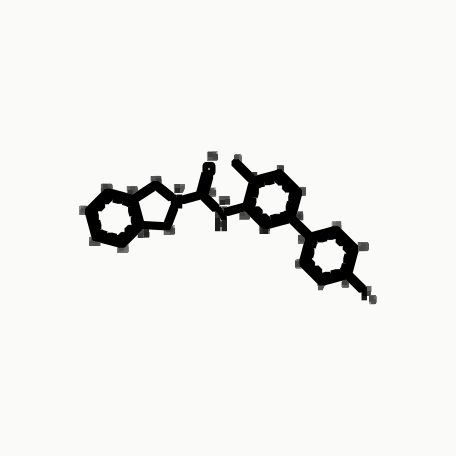 Cc1ccc(-c2ccc(F)cc2)cc1NC(=O)N1Cc2ccccc2C1